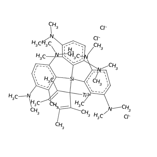 CC1=C(C)[C]([Ti+3])([Si](c2c(N(C)C)ccc(N(C)C)c2C)(c2c(N(C)C)ccc(N(C)C)c2C)c2c(N(C)C)ccc(N(C)C)c2C)C(C)=C1C.[Cl-].[Cl-].[Cl-]